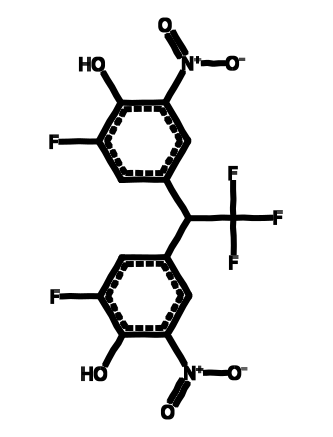 O=[N+]([O-])c1cc(C(c2cc(F)c(O)c([N+](=O)[O-])c2)C(F)(F)F)cc(F)c1O